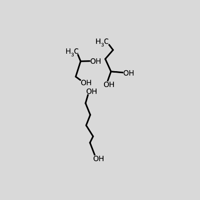 CC(O)CO.CCCC(O)O.OCCCCCO